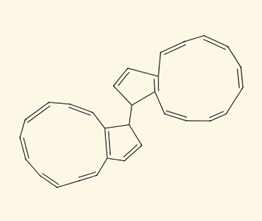 C1=CC=CC=CC2=C(C=CC=C1)C=CC2C1C=CC2=C1C=CC=CC=CC=CC=C2